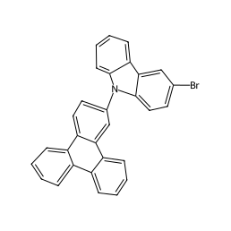 Brc1ccc2c(c1)c1ccccc1n2-c1ccc2c3ccccc3c3ccccc3c2c1